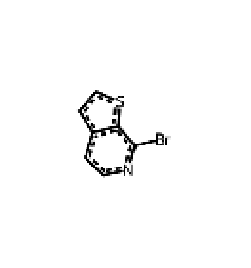 Brc1nccc2ccsc12